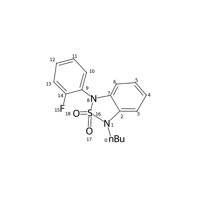 CCCCN1c2ccccc2N(c2ccccc2F)S1(=O)=O